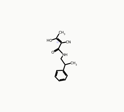 C/C(O)=C(\C#N)C(=O)NCC(C)c1ccccc1